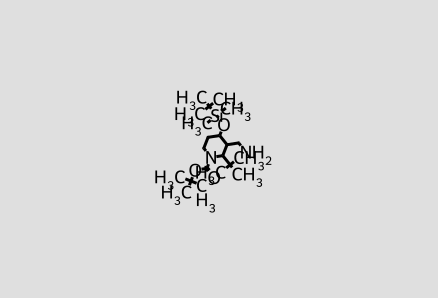 CC(C)(C)OC(=O)N1CCC(O[Si](C)(C)C(C)(C)C)C(CN)C1C(C)(C)C